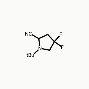 CC(C)(C)N1CC(F)(F)CC1C#N